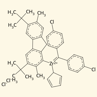 Cc1cc2c(cc1C(C)(C)C)-c1cc(C(C)(C)C)c(C)[c]([Zr+2](=[C](c3ccc(Cl)cc3)c3ccc(Cl)cc3)[CH]3C=CC=C3)c1C2.[Cl-].[Cl-]